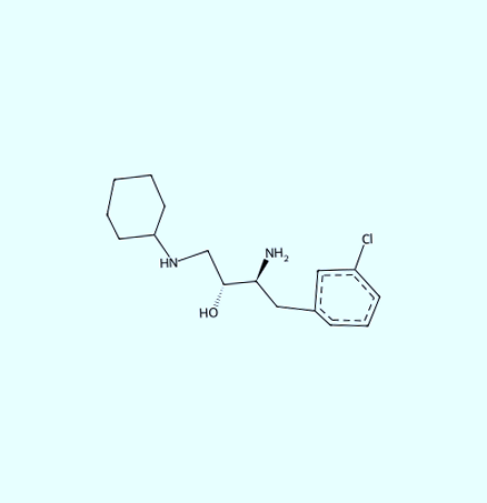 N[C@@H](Cc1cccc(Cl)c1)[C@H](O)CNC1CCCCC1